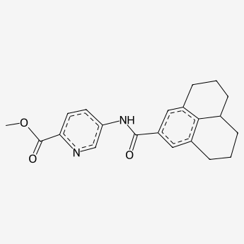 COC(=O)c1ccc(NC(=O)c2cc3c4c(c2)CCCC4CCC3)cn1